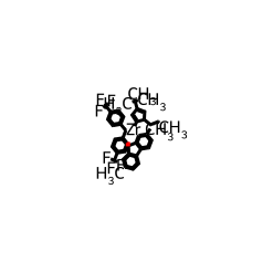 CCCC1C=C(C(C)(C)C)C=[C]1[Zr](=[C](c1ccc(C(F)(F)F)cc1)c1ccc(C(F)(F)F)cc1)[c]1c(C)ccc2c1Cc1cc(C)ccc1-2